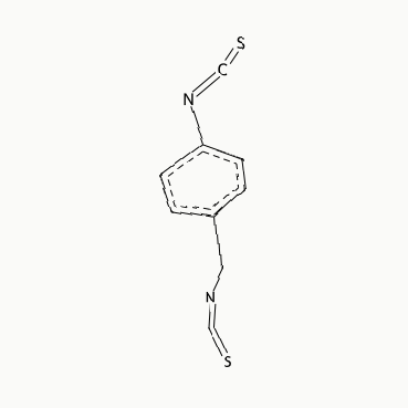 S=C=NCc1ccc(N=C=S)cc1